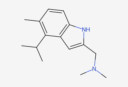 Cc1ccc2[nH]c(CN(C)C)cc2c1C(C)C